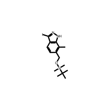 Cc1c(CO[Si](C)(C)C(C)(C)C)ccc2c(I)n[nH]c12